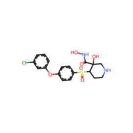 O=C(NO)C1(O)CNCCC1S(=O)(=O)c1ccc(Oc2cccc(Cl)c2)cc1